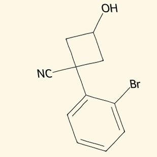 N#CC1(c2ccccc2Br)CC(O)C1